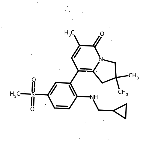 Cc1cc(-c2cc(S(C)(=O)=O)ccc2NCC2CC2)c2n(c1=O)CC(C)(C)C2